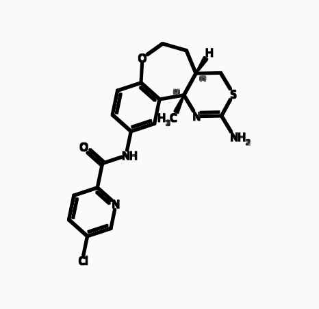 C[C@]12N=C(N)SC[C@H]1CCOc1ccc(NC(=O)c3ccc(Cl)cn3)cc12